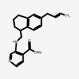 C/C=C/Cc1ccc2c(c1)CCCC2CNc1cnccc1C(=O)OC